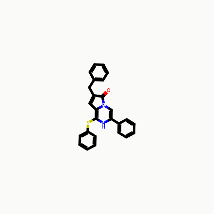 O=c1c(Cc2ccccc2)cc2c(Sc3ccccc3)[nH]c(-c3ccccc3)cn1-2